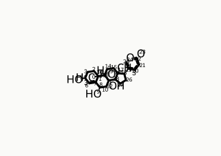 C[C@]12CC[C@H](O)C=C1[C@H](O)C[C@]1(O)[C@@H]2CC[C@]2(C)[C@@H](c3ccc(=O)oc3)CC[C@@]21O